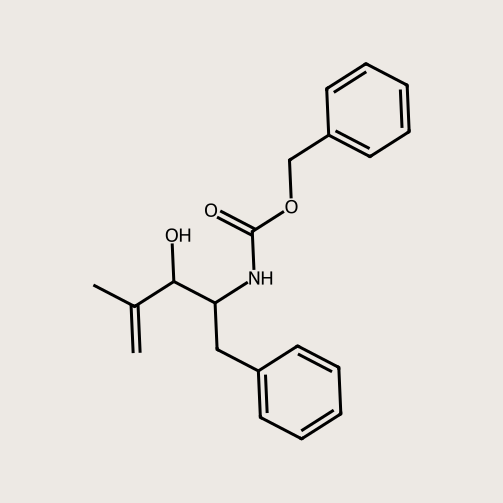 C=C(C)C(O)C(Cc1ccccc1)NC(=O)OCc1ccccc1